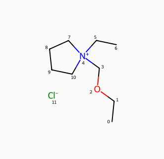 CCOC[N+]1(CC)CCCC1.[Cl-]